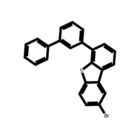 Brc1ccc2sc3c(-c4cccc(-c5ccccc5)c4)cccc3c2c1